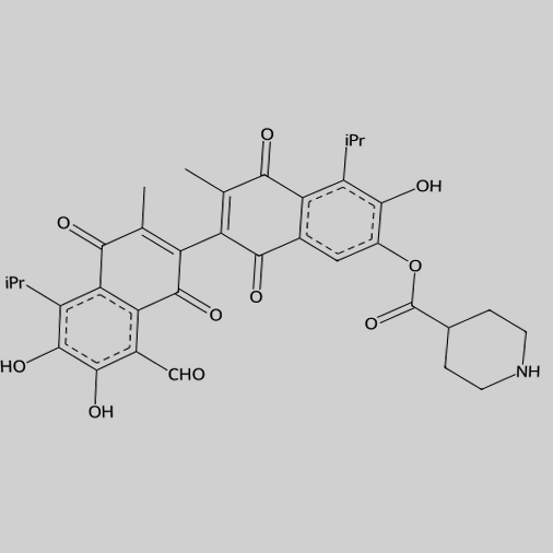 CC1=C(C2=C(C)C(=O)c3c(c(C=O)c(O)c(O)c3C(C)C)C2=O)C(=O)c2cc(OC(=O)C3CCNCC3)c(O)c(C(C)C)c2C1=O